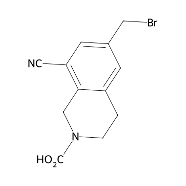 N#Cc1cc(CBr)cc2c1CN(C(=O)O)CC2